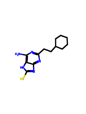 Nc1nc(CCC2CCCCC2)nc2nc(S)[nH]c12